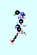 COc1cc2c(Oc3ccc(NC(=O)C4(C(=O)Nc5cccc(Cl)c5)CC4)cc3F)ccnc2cc1OCCCCCCC(=O)[O-].[Li+]